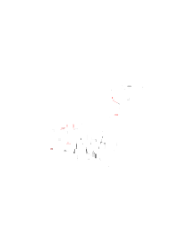 C=CC.C=CC.C=CC.CCCCOC(=O)CC(C)C.CCOCC.OCCO